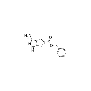 Nc1n[nH]c2c1CN(C(=O)OCc1ccccc1)C2